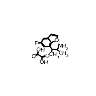 CC(N)C(C)c1cc(F)cc2ccoc12.O=C(O)C(=O)O